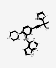 CC(O)(C#Cc1ccc(N2CCOCC2)c(Nc2ncnc3[nH]ccc23)c1)c1nccs1